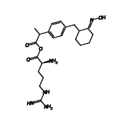 CC(C(=O)OC(=O)[C@@H](N)CCCNC(=N)N)c1ccc(CC2CCCCC2=NO)cc1